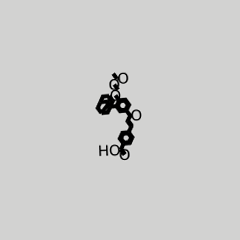 COC(C)OCOc1ccc(C(=O)C=Cc2ccc(C(=O)O)cc2)cc1C12CC3CC(CC(C3)C1)C2